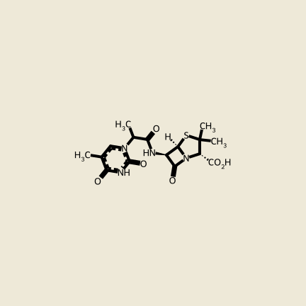 Cc1cn(C(C)C(=O)N[C@@H]2C(=O)N3[C@@H]2SC(C)(C)[C@@H]3C(=O)O)c(=O)[nH]c1=O